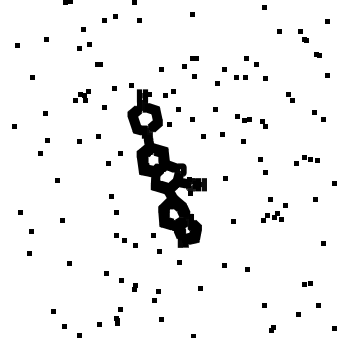 OC1Oc2cc(N3CCNCC3)ccc2C=C1c1ccc2nccn2c1